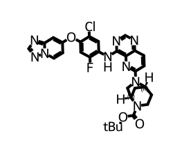 CC(C)(C)OC(=O)N1CC[C@@H]2C[C@H]1CN2c1ccc2ncnc(Nc3cc(Cl)c(Oc4ccn5ncnc5c4)cc3F)c2n1